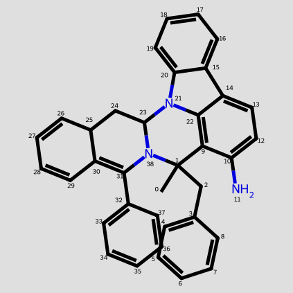 CC1(Cc2ccccc2)c2c(N)ccc3c4ccccc4n(c23)C2CC3C=CC=CC3=C(c3ccccc3)N21